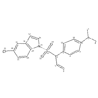 C=CC(c1ccc(C(C)C)cc1)S(=O)(=O)n1ccc2cc(Cl)ccc21